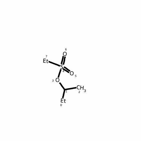 CCC(C)OS(=O)(=O)CC